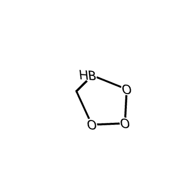 B1COOO1